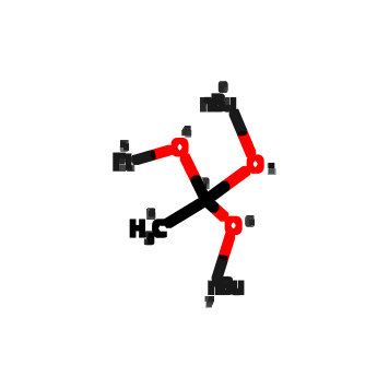 CCCCOC(C)(OCC)OCCCC